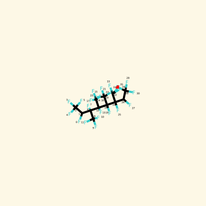 FC(C(F)(F)F)C(F)(C(F)(F)F)C(F)(C(F)(F)F)C(F)(C(F)(F)F)C(F)(C(F)C(F)(F)F)C(F)(F)F